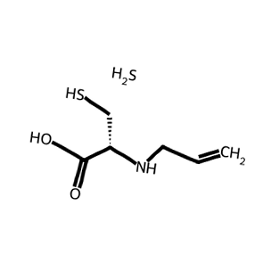 C=CCN[C@@H](CS)C(=O)O.S